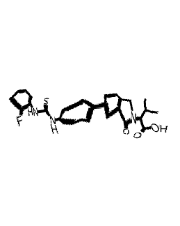 CC(C)C(C(=O)O)N1Cc2ccc(-c3ccc(NC(=S)Nc4ccccc4F)cc3)cc2C1=O